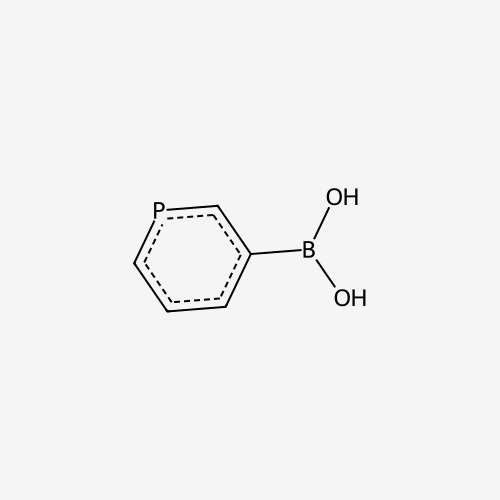 OB(O)c1cccpc1